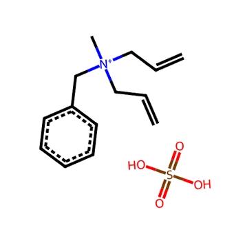 C=CC[N+](C)(CC=C)Cc1ccccc1.O=S(=O)(O)O